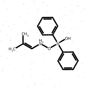 CC(C)=C[SiH2]O[Si](O)(c1ccccc1)c1ccccc1